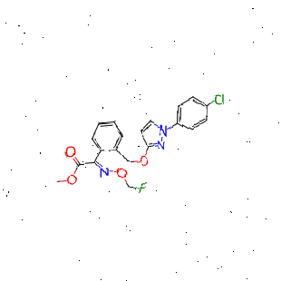 COC(=O)/C(=N/OCF)c1ccccc1COc1ccn(-c2ccc(Cl)cc2)n1